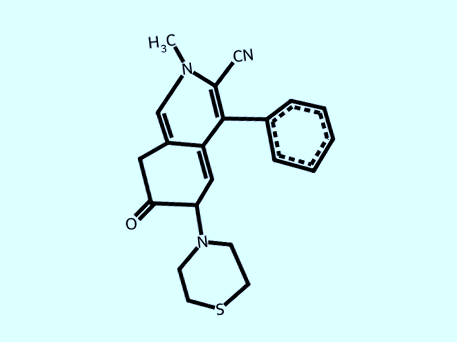 CN1C=C2CC(=O)C(N3CCSCC3)C=C2C(c2ccccc2)=C1C#N